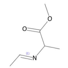 C/C=N/C(C)C(=O)OC